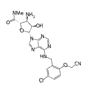 CNC(=O)[C@H]1O[C@@H](n2cnc3c(NCc4cc(Cl)ccc4OCC#N)ncnc32)[C@H](O)[C@@H]1N